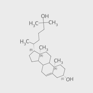 CC(CCCC(C)(C)O)[C@H]1CCC2C3CC=C4C[C@@H](O)CC[C@]4(C)C3CC[C@@]21C